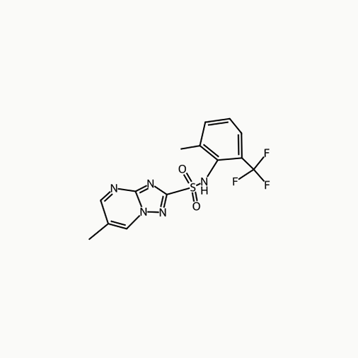 Cc1cnc2nc(S(=O)(=O)Nc3c(C)cccc3C(F)(F)F)nn2c1